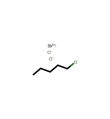 CCCCCCl.[Cl-].[Cl-].[Sb+2]